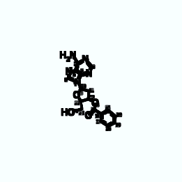 Nc1ncnc2c1ncn2[C@@H]1C[C@@H](OC(=O)c2ccccc2)[C@@H](CO)O1